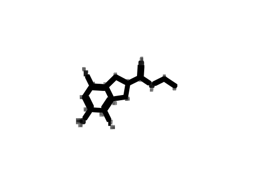 CCOC(=O)C1Cc2c(F)cc(O)c(F)c2C1